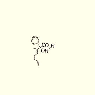 C=C/C=C\C=C(/C)C(O)(C(=O)O)c1ccccc1